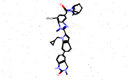 COc1cc(C(=O)N2CC3CCC2[C@@H]3C)cc2nc(-c3cc4ccc(-c5ccc6c(c5)CN(C)C(=O)N6)cc4n3CC3CC3)n(C)c12